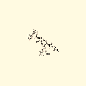 COC1CN(c2ccc(C(=O)N[C@H](COCF)CC(C)C)nc2OCC2(CO)COC2)C1